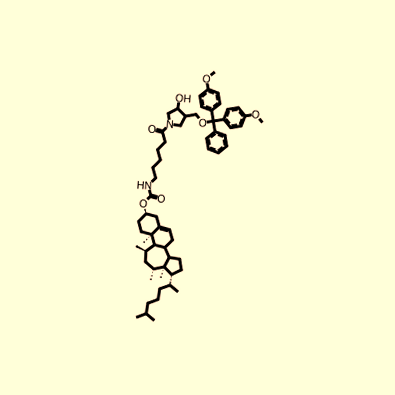 COc1ccc(C(OCC2CN(C(=O)CCCCCNC(=O)O[C@H]3CC[C@@]4(C)C(=CCC5C6CC[C@H](C(C)CCCC(C)C)[C@@]6(C)[C@H](C)C[C@@H](C)C54)C3)CC2O)(c2ccccc2)c2ccc(OC)cc2)cc1